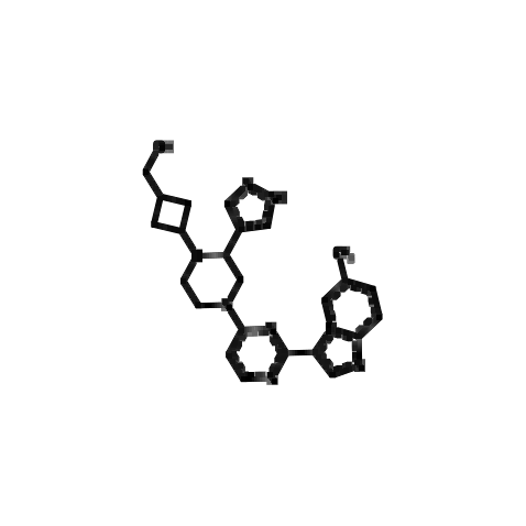 OCC1CC(N2CCN(c3ccnc(-c4cnc5ccc(C(F)(F)F)cn45)n3)CC2c2cn[nH]c2)C1